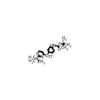 CC(C)(C)OC(=O)Nc1ccc(Oc2ccnc([N+](C)(C)C)n2)cc1.[Cl-]